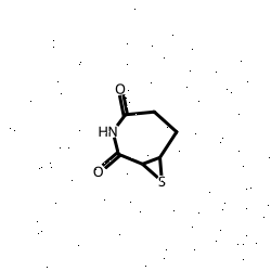 O=C1CCC2SC2C(=O)N1